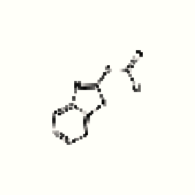 O=C(Cl)Sc1nc2ccccc2s1